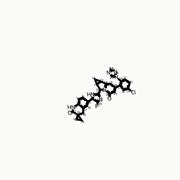 O=C1Nc2ccc(-c3[nH]c(C4C5CC5c5cc(-c6cc(Cl)ccc6-n6cnnn6)cc(=O)n54)nc3F)cc2CC12CC2